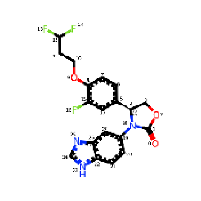 O=C1OC[C@H](c2ccc(OCCC(F)F)c(F)c2)N1c1ccc2[nH]cnc2c1